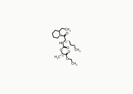 CCOC(=O)[C@H](C)OC(=O)N[C@@H](CCSC)C(=O)N1CCCCC1CC